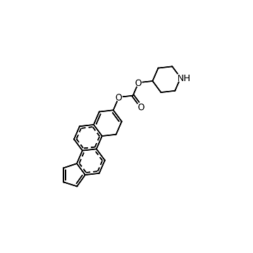 O=C(OC1=CCc2c(ccc3c4c(ccc23)=CC=C4)=C1)OC1CCNCC1